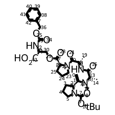 C=C([C@@H]1CCCN1C(=O)OC(C)(C)C)N(C)[C@@H](C)C(=O)N[C@@H](C)C(=O)N1CCC[C@H]1C(=O)OC[C@H](NC(=O)OCc1ccccc1)C(=O)O